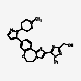 CC(C)n1nc(CO)nc1-c1cn2c(n1)-c1ccc(-c3ccnn3C3CCN(C)CC3)cc1OCC2